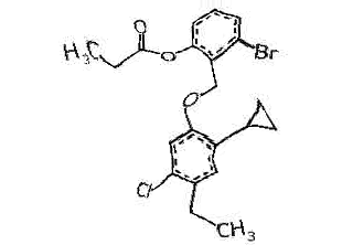 CCC(=O)Oc1cccc(Br)c1COc1cc(Cl)c(CC)cc1C1CC1